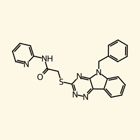 O=C(CSc1nnc2c3ccccc3n(Cc3ccccc3)c2n1)Nc1ccccn1